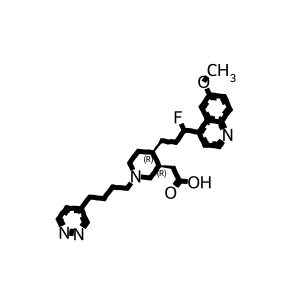 COc1ccc2nccc(C(F)CC[C@@H]3CCN(CCCCc4ccnnc4)C[C@@H]3CC(=O)O)c2c1